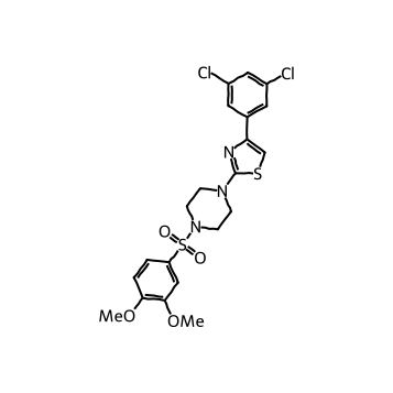 COc1ccc(S(=O)(=O)N2CCN(c3nc(-c4cc(Cl)cc(Cl)c4)cs3)CC2)cc1OC